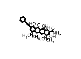 CN(C)c1cc(C#Cc2ccccc2)c(O)c2c1CC1CC3C(N(C)C)C(O)=C(C(N)=O)CC3(O)C(O)=C1C2=O